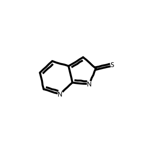 S=C1C=c2cccnc2=N1